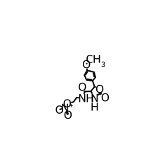 COc1ccc(C2OC(=O)NC2C(=O)NCCO[N+](=O)[O-])cc1